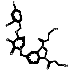 O=C(CCO)N1CN(C(=O)CCO)c2cc(Cn3ccc(OCc4ccc(F)cc4F)c(Cl)c3=O)ccc21